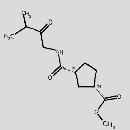 COC(=O)[C@H]1CC[C@@H](C(=O)NCC(=O)C(C)C)C1